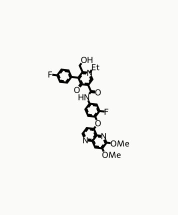 CCn1cc(C(=O)Nc2ccc(Oc3ccnc4cc(OC)c(OC)nc34)c(F)c2)c(=O)c(-c2ccc(F)cc2)c1CO